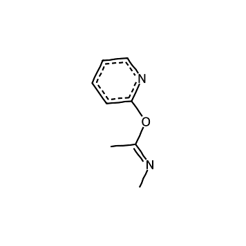 C/N=C(\C)Oc1ccccn1